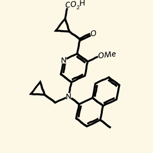 COc1cc(N(CC2CC2)c2ccc(C)c3ccccc23)cnc1C(=O)C1CC1C(=O)O